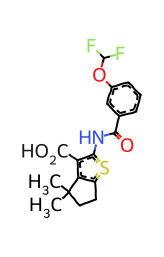 CC1(C)CCc2sc(NC(=O)c3cccc(OC(F)F)c3)c(C(=O)O)c21